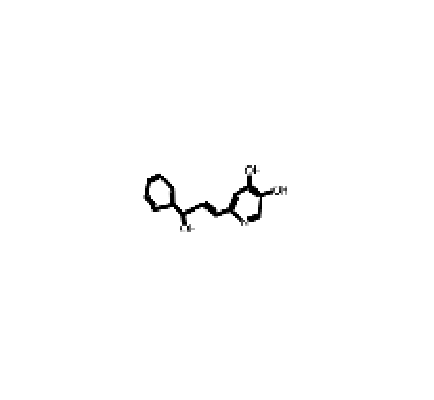 Oc1cnc(C=CC(O)c2ccccc2)cc1O